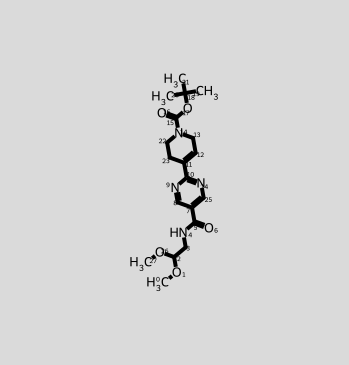 COC(CNC(=O)c1cnc(C2=CCN(C(=O)OC(C)(C)C)CC2)nc1)OC